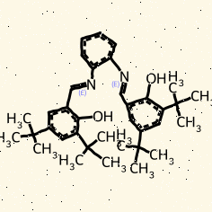 CC(C)(C)c1cc(/C=N/c2ccccc2/N=C/c2cc(C(C)(C)C)cc(C(C)(C)C)c2O)c(O)c(C(C)(C)C)c1